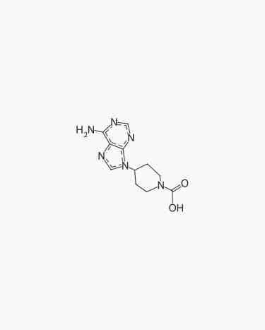 Nc1ncnc2c1ncn2C1CCN(C(=O)O)CC1